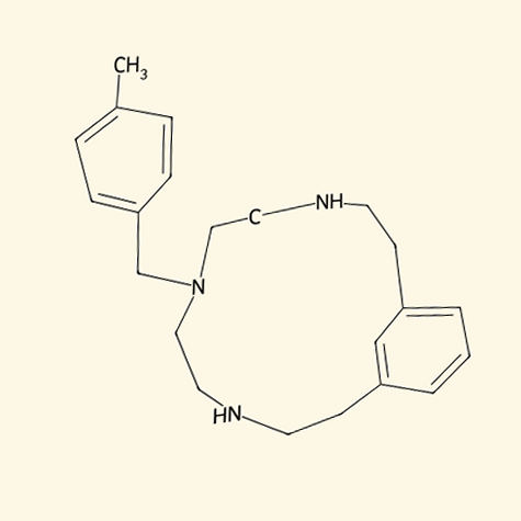 Cc1ccc(CN2CCNCCc3cccc(c3)CCNCC2)cc1